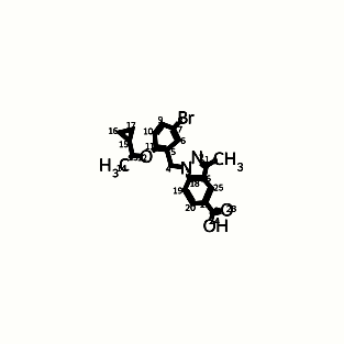 Cc1nn(Cc2cc(Br)ccc2OC(C)C2CC2)c2ccc(C(=O)O)cc12